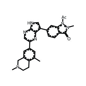 CC(=O)n1c2cc(-c3c[nH]c4ncc(-c5cc(C)c6c(c5)CN(C)CC6)nc34)ccc2c(=O)n1C